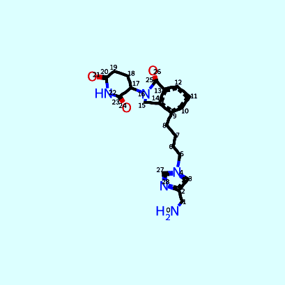 NCc1cn(CCCCc2cccc3c2CN(C2CCC(=O)NC2=O)C3=O)cn1